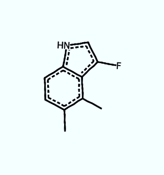 Cc1ccc2[nH]cc(F)c2c1C